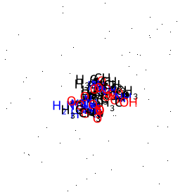 CC[C@H](C)[C@@H]([C@@H](CC(=O)N1CCC[C@H]1[C@H](OC)[C@@H](C)C(=O)N[C@H](C)[C@@H](O)c1ccccc1)OC)N(C)C(=O)[C@@H](NC(=O)[C@H](C(C)C)N(C)C(=O)OCc1ccc(NC(=O)[C@H](CCCNC(N)=O)NC(=O)[C@@H](NC(=O)c2ccc(N3C(=O)C=CC3=O)c(N3C(=O)C=CC3=O)c2)C(C)C)cc1)C(C)C